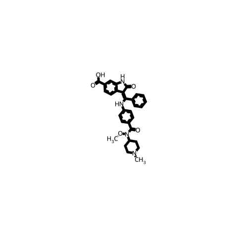 CON(C(=O)c1ccc(N/C(=C2/C(=O)Nc3cc(C(=O)O)ccc32)c2ccccc2)cc1)C1CCN(C)CC1